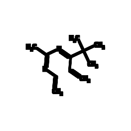 C=C/N=C(C)\N=C(/C=C)C(C)(C)C